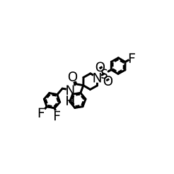 O=C(NCc1ccc(F)c(F)c1)C1(c2ccccc2)CCN(S(=O)(=O)c2ccc(F)cc2)CC1